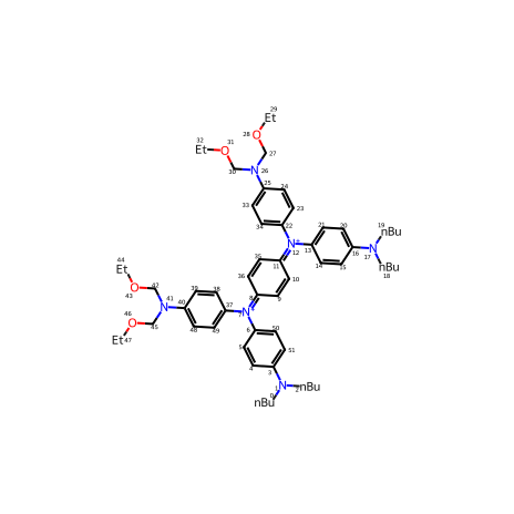 CCCCN(CCCC)c1ccc([N+](=C2C=CC(=[N+](c3ccc(N(CCCC)CCCC)cc3)c3ccc(N(COCC)COCC)cc3)C=C2)c2ccc(N(COCC)COCC)cc2)cc1